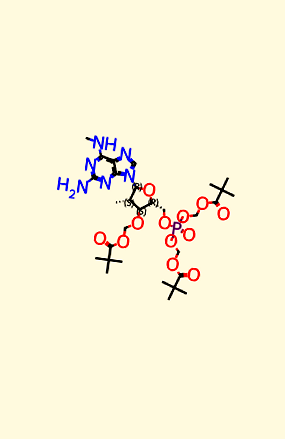 CNc1nc(N)nc2c1ncn2[C@@H]1O[C@H](COP(=O)(OCOC(=O)C(C)(C)C)OCOC(=O)C(C)(C)C)[C@@H](OCOC(=O)C(C)(C)C)[C@@H]1C